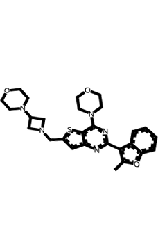 Cc1oc2ccccc2c1-c1nc(N2CCOCC2)c2sc(CN3CC(N4CCOCC4)C3)cc2n1